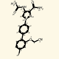 N#CCOc1cc(F)ccc1-c1ccc(-n2cc(NC(N)=O)c(C(N)=O)n2)cc1